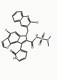 CN(C)S(=O)(=O)NC(=O)c1c(-c2ccc[nH]c2=O)c2c3occc3c(F)cc2n1Cc1cc2ccccc2nc1Cl